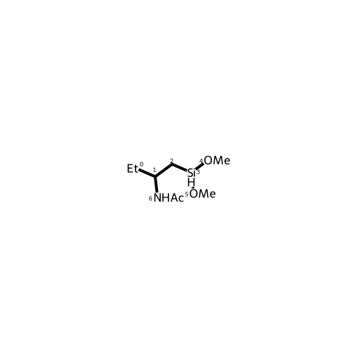 CCC(C[SiH](OC)OC)NC(C)=O